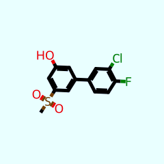 CS(=O)(=O)c1cc(O)cc(-c2ccc(F)c(Cl)c2)c1